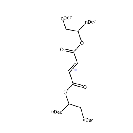 CCCCCCCCCCCC(CCCCCCCCCC)OC(=O)/C=C/C(=O)OC(CCCCCCCCCC)CCCCCCCCCCC